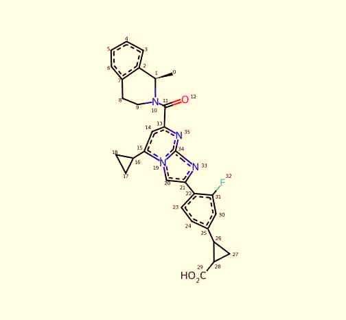 C[C@@H]1c2ccccc2CCN1C(=O)c1cc(C2CC2)n2cc(-c3ccc(C4CC4C(=O)O)cc3F)nc2n1